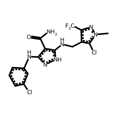 Cn1nc(C(F)(F)F)c(CNc2[nH]nc(Nc3cccc(Cl)c3)c2C(N)=O)c1Cl